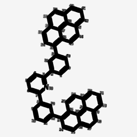 c1cc(-c2cccc(-c3cccc(-c4ccc5ccc6cccc7ccc4c5c67)c3)n2)cc(-c2ccc3ccc4cccc5ccc2c3c45)c1